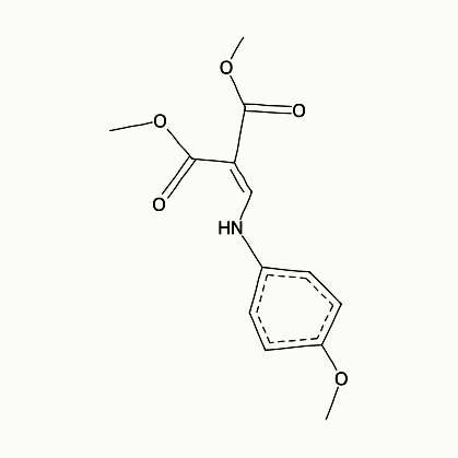 COC(=O)C(=CNc1ccc(OC)cc1)C(=O)OC